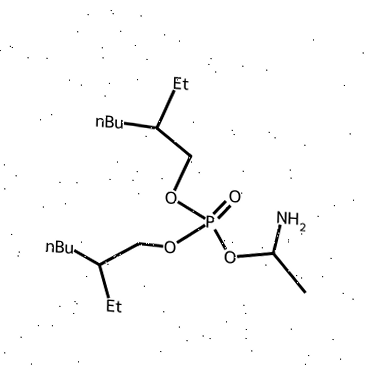 CCCCC(CC)COP(=O)(OCC(CC)CCCC)OC(C)N